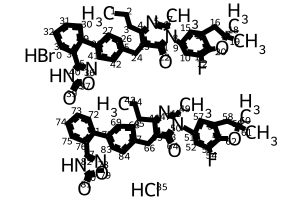 Br.CCCc1nc(C)n(-c2cc(F)c3c(c2)CC(C)(C)O3)c(=O)c1Cc1ccc(-c2ccccc2-c2noc(=O)[nH]2)cc1.CCCc1nc(C)n(-c2cc(F)c3c(c2)CC(C)(C)O3)c(=O)c1Cc1ccc(-c2ccccc2-c2noc(=O)[nH]2)cc1.Cl